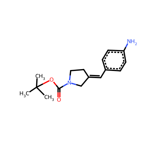 CC(C)(C)OC(=O)N1CC/C(=C\c2ccc(N)cc2)C1